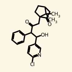 CC1(C)C2CCC1(CC(=O)C(c1ccccc1)C(O)c1ccc(Cl)nc1)C(=O)C2